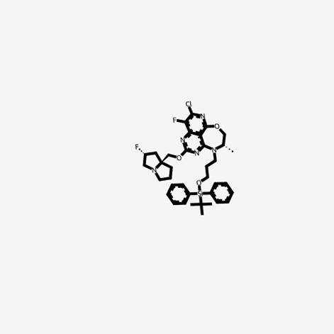 C[C@H]1COc2nc(Cl)c(F)c3nc(OC[C@@]45CCCN4C[C@H](F)C5)nc(c23)N1CCCO[Si](c1ccccc1)(c1ccccc1)C(C)(C)C